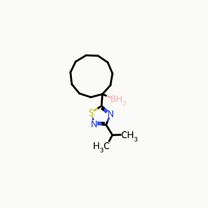 BC1(c2nc(C(C)C)ns2)CCCCCCCCCC1